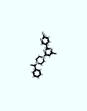 Cc1cc(N2CCN(C(C)c3ccccc3)CC2)nc(-c2ccc(F)nc2)n1